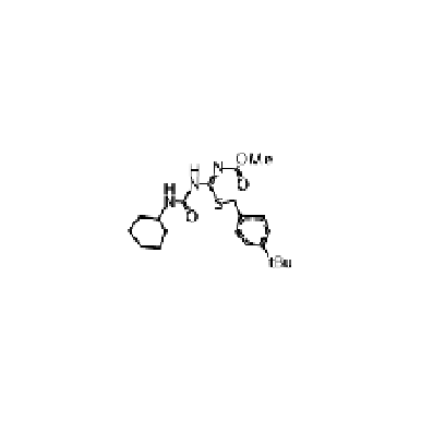 COC(=O)N=C(NC(=O)NC1CCCCC1)SCc1ccc(C(C)(C)C)cc1